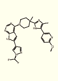 COc1ccc(-c2[nH]c(C3(C)CCN(c4ncnc5[nH]c(-c6cnn(C(F)F)c6)cc45)CC3)nc2C)cn1